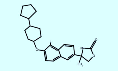 CC1(c2ccc3c(I)c(OC4CCC(C5CCCC5)CC4)ccc3c2)COC(=O)N1